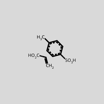 C=CC(=O)O.Cc1ccc(S(=O)(=O)O)cc1